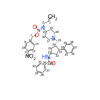 C=CCN(C(=O)OCc1ccc([N+](=O)[O-])cc1)C1CCN(C[C@H]2C[C@H](NC(=O)c3ccccc3)C[C@@H]2c2ccccc2)CC1